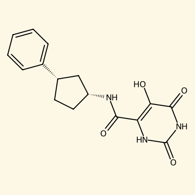 O=C(N[C@@H]1CC[C@H](c2ccccc2)C1)c1[nH]c(=O)[nH]c(=O)c1O